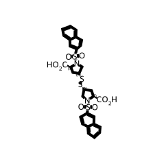 O=C(O)[C@@H]1C[C@@H](SS[C@@H]2C[C@@H](C(=O)O)N(S(=O)(=O)c3ccc4ccccc4c3)C2)CN1S(=O)(=O)c1ccc2ccccc2c1